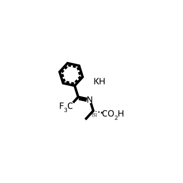 C[C@H](N=C(c1ccccc1)C(F)(F)F)C(=O)O.[KH]